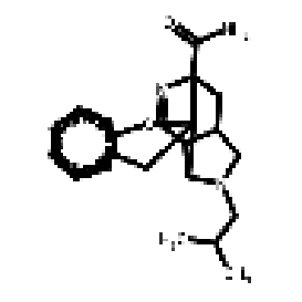 CC(C)CN1CC2CC3(C(N)=O)N=CC2C1C3(Cc1ccccc1)Cc1ccccc1